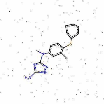 Cc1cc(N(C)c2n[nH]c(N)n2)ccc1Sc1ccccc1